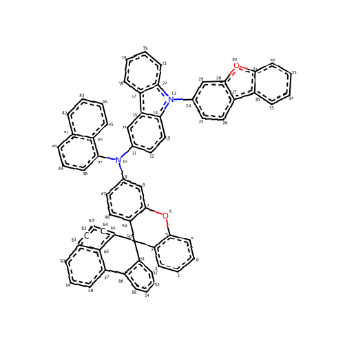 c1ccc2c(c1)Oc1cc(N(c3ccc4c(c3)c3ccccc3n4-c3ccc4c(c3)oc3ccccc34)c3cccc4ccccc34)ccc1C21c2ccccc2-c2cccc3cccc1c23